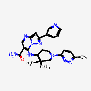 CC1(C)CN(c2ccc(C#N)nn2)CCC1Nc1c(C(N)=O)cnc2cc(-c3cccnc3)nn12